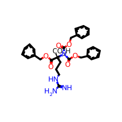 N=C(N)NCCC[C@](C(=O)O)(C(=O)OCc1ccccc1)N(C(=O)OCc1ccccc1)C(=O)OCc1ccccc1